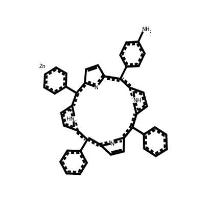 Nc1ccc(-c2c3nc(c(-c4ccccc4)c4ccc([nH]4)c(-c4ccccc4)c4nc(c(-c5ccccc5)c5ccc2[nH]5)C=C4)C=C3)cc1.[Zn]